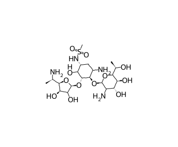 C[C@@H](O)C1O[C@H](O[C@@H]2C(N)C[C@@H](NS(C)(=O)=O)C(O)[C@H]2O[C@@H]2O[C@H]([C@@H](C)N)[C@H](O)C2O)C(N)[C@@H](O)[C@@H]1O